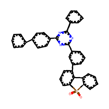 O=S1(=O)c2ccccc2-c2c(-c3cccc(-c4nc(-c5ccccc5)nc(-c5ccc(-c6ccccc6)cc5)n4)c3)cccc21